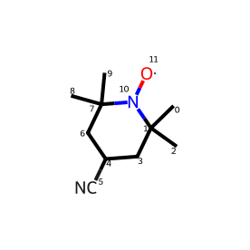 CC1(C)CC(C#N)CC(C)(C)N1[O]